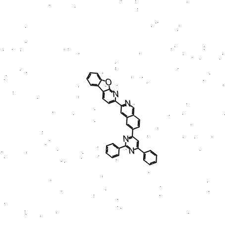 c1ccc(-c2cc(-c3ccc4cnc(-c5ccc6c(n5)oc5ccccc56)cc4c3)nc(-c3ccccc3)n2)cc1